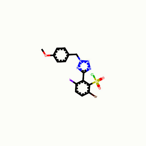 COc1ccc(Cn2nnc(-c3c(I)ccc(Br)c3S(=O)(=O)Cl)n2)cc1